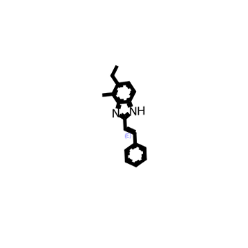 CCc1ccc2[nH]c(/C=C/c3ccccc3)nc2c1C